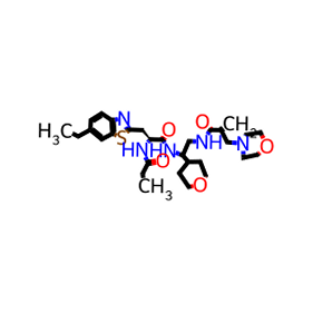 C=C(CN1CCOCC1)C(=O)NCC(NC(=O)[C@H](Cc1nc2ccc(CC)cc2s1)NC(=O)CC)C1CCOCC1